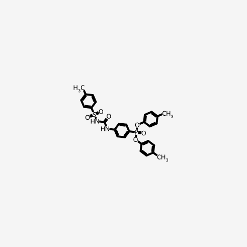 Cc1ccc(OP(=O)(Oc2ccc(C)cc2)c2ccc(NC(=O)NS(=O)(=O)c3ccc(C)cc3)cc2)cc1